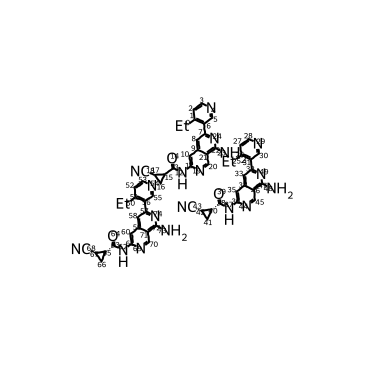 CCc1ccncc1-c1cc2cc(NC(=O)C3CC3C#N)ncc2c(N)n1.CCc1ccncc1-c1cc2cc(NC(=O)[C@@H]3C[C@@H]3C#N)ncc2c(N)n1.CCc1ccncc1-c1cc2cc(NC(=O)[C@@H]3C[C@H]3C#N)ncc2c(N)n1